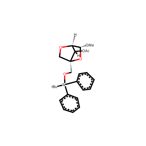 CO[C@@H]1O[C@@]2(CO[Si](c3ccccc3)(c3ccccc3)C(C)(C)C)CO[C@@H]1[C@@H]2OC(C)=O